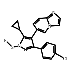 FSn1nc(-c2ccc(Cl)cc2)c(-c2ccc3nccn3c2)c1C1CC1